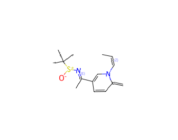 C=C1C=CC(/C(C)=N/[S+]([O-])C(C)(C)C)=CN1/C=C\C